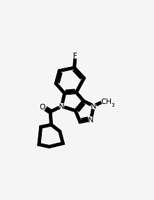 Cn1ncc2c1c1cc(F)ccc1n2C(=O)C1CCCCC1